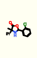 CC(C)C1(C)NC(c2ccccc2Cl)OC1=O